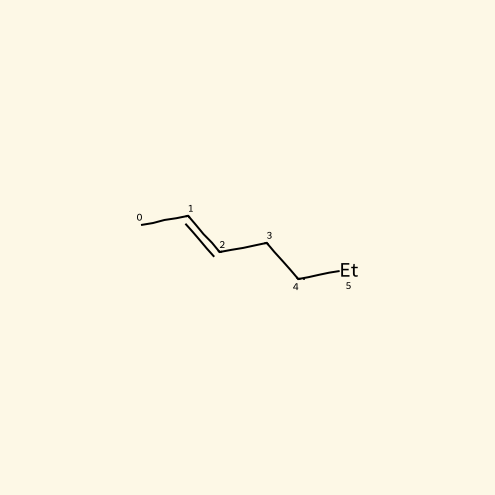 C/C=C/C[CH]CC